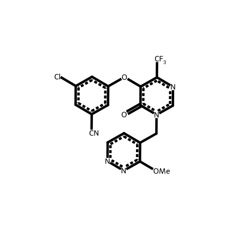 COc1nnccc1Cn1cnc(C(F)(F)F)c(Oc2cc(Cl)cc(C#N)c2)c1=O